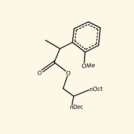 CCCCCCCCCCC(CCCCCCCC)COC(=O)C(C)c1ccccc1OC